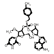 CO[C@H]1C(OP(=O)(O[C@H]2O[C@@H](n3cnc4c(N)ncnc43)CC2O)SCc2ccc(C)cc2)[C@@H](CO)O[C@H]1n1ccc(=O)[nH]c1=O